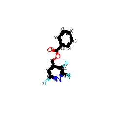 O=C(OCc1cc(F)nc(F)c1F)c1ccccc1